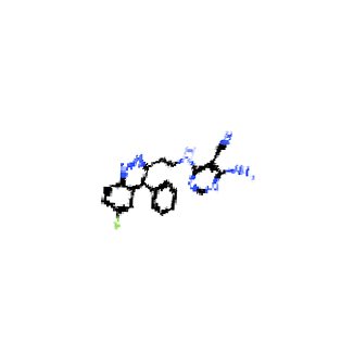 N#Cc1c(N)ncnc1NCCc1nnc2ccc(F)cc2c1-c1ccccc1